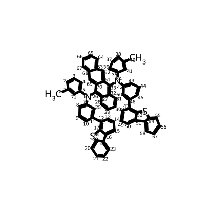 Cc1cccc(N(c2cccc(-c3cccc4c3sc3ccccc34)c2)c2c3ccccc3c(N(c3cccc(C)c3)c3cccc(-c4cccc5c4sc4ccccc45)c3)c3cc4ccccc4cc23)c1